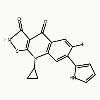 O=c1[nH]sc2c1c(=O)c1cc(F)c(-c3ccc[nH]3)cc1n2C1CC1